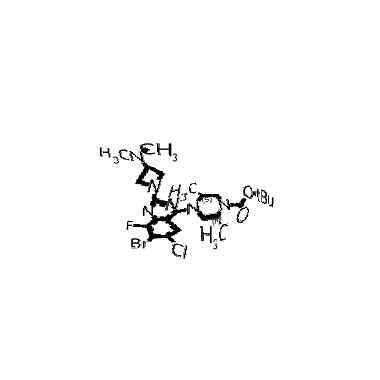 C[C@@H]1CN(c2nc(N3CC(N(C)C)C3)nc3c(F)c(Br)c(Cl)cc23)[C@@H](C)CN1C(=O)OC(C)(C)C